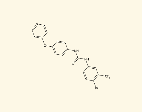 O=C(Nc1ccc(Oc2ccncc2)cc1)Nc1ccc(Br)c(C(F)(F)F)c1